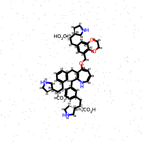 O=C(O)[C@@H](Cc1cccc(CC2=C(Cc3cccc(C[C@H](C(=O)O)[C@H]4CCNC4)c3)C(OCc3cc(C[C@H](C(=O)O)[C@H]4CCNC4)cc4c3OCCO4)=CC=CN2)c1)[C@H]1CCNC1